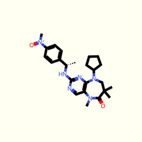 C[C@H](Nc1ncc2c(n1)N(C1CCCC1)CC(C)(C)C(=O)N2C)c1ccc([N+](C)=O)cc1